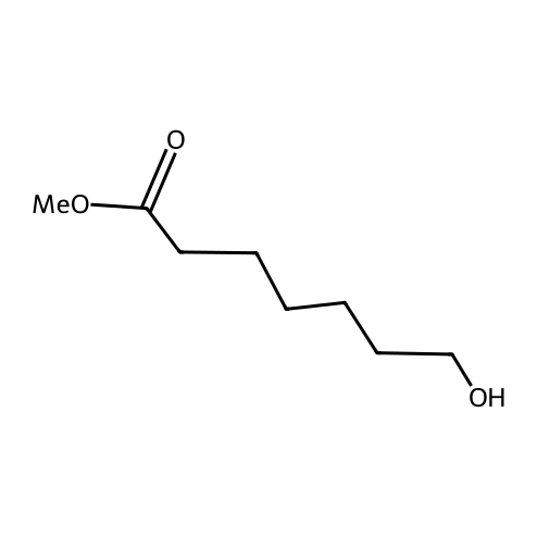 COC(=O)CCCCCCO